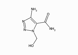 NC(=O)c1c(N)nnn1CO